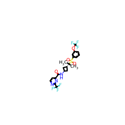 CC(C)([C@H]1C[C@H](NC(=O)c2ccnc(C(F)(F)F)n2)C1)S(=O)(=O)c1cccc(OC(F)(F)F)c1